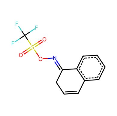 O=S(=O)(ON=C1CC=Cc2ccccc21)C(F)(F)F